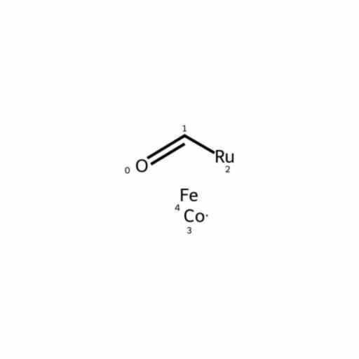 O=[CH][Ru].[Co].[Fe]